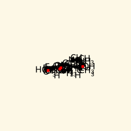 Cc1ncsc1-c1ccc([C@H](C)NC(=O)[C@@H]2C[C@@H](O)CN2C(=O)[C@@H](NC(=O)CCCCNC(=O)CC(=O)N2CCN(C(=O)[C@@H](NC(=O)c3cc4cc(C(F)(F)P(=O)(O)O)ccc4s3)C(C)(C)C)[C@H](C(=O)N3CCC[C@H](c4ccccc4)C3)C2)C(C)(C)C)cc1